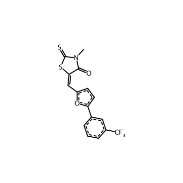 CN1C(=O)/C(=C\c2ccc(-c3cccc(C(F)(F)F)c3)o2)SC1=S